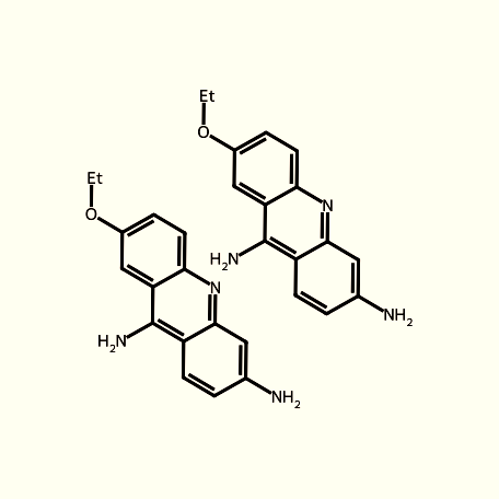 CCOc1ccc2nc3cc(N)ccc3c(N)c2c1.CCOc1ccc2nc3cc(N)ccc3c(N)c2c1